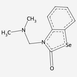 CN(C)Cn1c(=O)[se]c2ccccc21